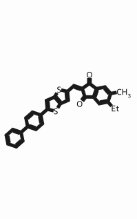 CCc1cc2c(cc1C)C(=O)/C(=C/c1cc3sc(-c4ccc(-c5ccccc5)cc4)cc3s1)C2=O